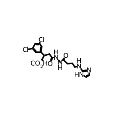 O=C(O)CC(CC(=O)NNC(=O)CCCNc1ncc[nH]1)c1cc(Cl)cc(Cl)c1